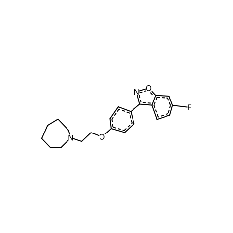 Fc1ccc2c(-c3ccc(OCCN4CCCCCC4)cc3)noc2c1